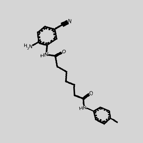 Cc1ccc(NC(=O)CCCCCC(=O)Nc2cc(C#N)ccc2N)cc1